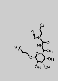 CCCO[C@@H]1O[C@H](C(O)NC(=O)N(CCCl)N=O)[C@@H](O)[C@H](O)[C@H]1O